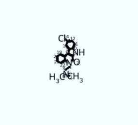 CN(C)CCn1c(=O)c2[nH]c3ccc(Cl)cc3c2c2ccccc21